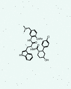 COc1ccc(CN(C)C)cc1NC(=O)[C@H](NC(=O)N1CCC(O)CC1c1ccc(Cl)cc1)[C@@H](C)c1c[nH]c2ccccc12